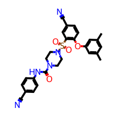 Cc1cc(C)cc(Oc2ccc(C#N)cc2S(=O)(=O)N2CCN(C(=O)Nc3ccc(C#N)cc3)CC2)c1